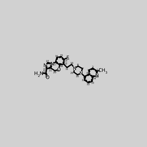 Cc1ccc2c(N3CCN(CCc4c(F)ccc5c4OCc4c(C(N)=O)ncn4-5)CC3)cccc2n1